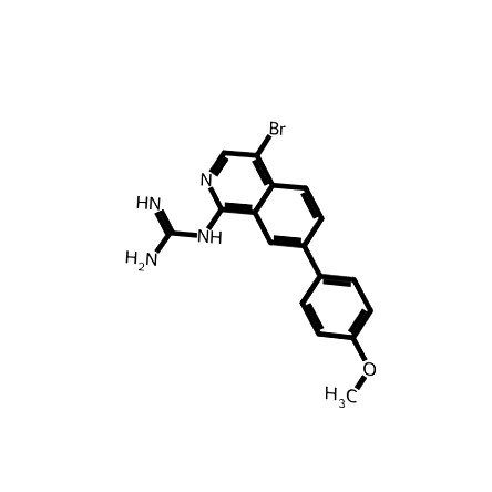 COc1ccc(-c2ccc3c(Br)cnc(NC(=N)N)c3c2)cc1